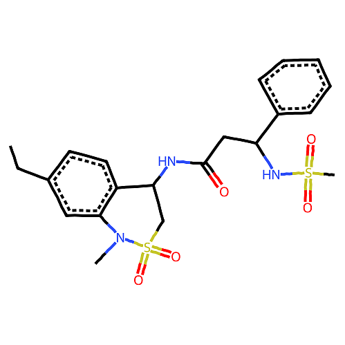 CCc1ccc2c(c1)N(C)S(=O)(=O)CC2NC(=O)CC(NS(C)(=O)=O)c1ccccc1